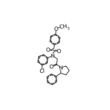 COc1ccc(S(=O)(=O)N(CC(=O)N2CCCC2c2ccccc2)c2cccc(Cl)c2)cc1